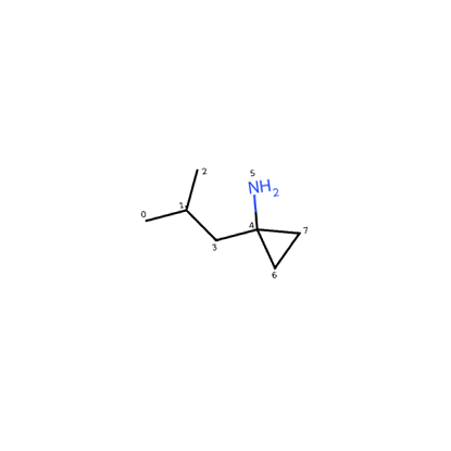 C[C](C)CC1(N)CC1